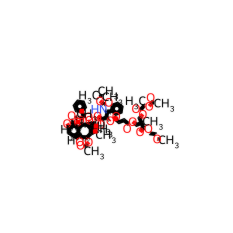 COCCOC(=O)C(C)(COC(=O)CCC(=O)O[C@@H](C(=O)O[C@H]1C[C@@]2(O)[C@@H](OC(=O)c3ccccc3)[C@@H]3[C@]4(OC(C)=O)CO[C@@H]4C[C@@H]4C[C@@]43C(=O)[C@H](OC(C)=O)C(=C1C)C2(C)C)[C@@H](NC(=O)OC(C)(C)C)c1ccccc1)COC(=O)C(C)OC(C)=O